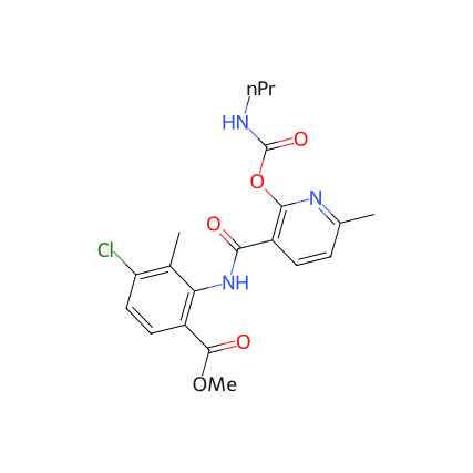 CCCNC(=O)Oc1nc(C)ccc1C(=O)Nc1c(C(=O)OC)ccc(Cl)c1C